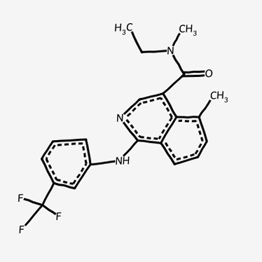 CCN(C)C(=O)c1cnc(Nc2cccc(C(F)(F)F)c2)c2cccc(C)c12